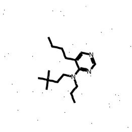 CCCCc1cncnc1N(CCC)CCC(C)(C)C